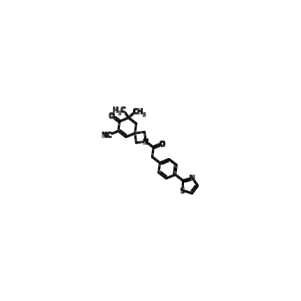 CC1(C)CC2(C=C(C#N)C1=O)CN(C(=O)Cc1ccc(-c3nccs3)cc1)C2